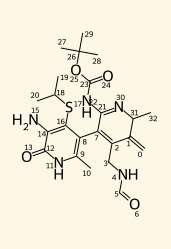 C=C1C(CNC=O)=C(c2c(C)[nH]c(=O)c(N)c2SC(C)C)C(NC(=O)OC(C)(C)C)=NC1C